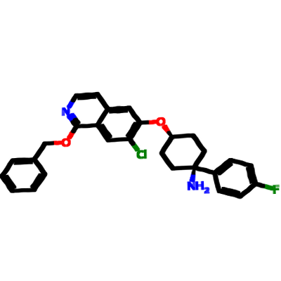 N[C@]1(c2ccc(F)cc2)CC[C@H](Oc2cc3ccnc(OCc4ccccc4)c3cc2Cl)CC1